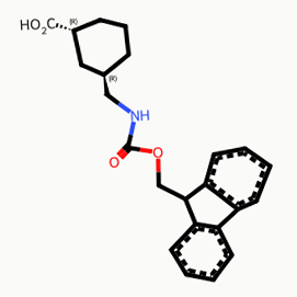 O=C(NC[C@@H]1CCC[C@@H](C(=O)O)C1)OCC1c2ccccc2-c2ccccc21